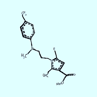 COC(=O)c1cc(F)n(CCN(C)c2ccc(C(F)(F)F)cc2)c1C=O